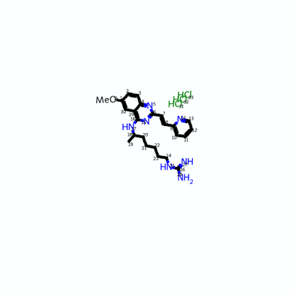 COc1ccc2nc(/C=C/c3ccccn3)nc(NC(C)CCCCCNC(=N)N)c2c1.Cl.Cl.Cl